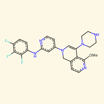 COc1nccc2c1C(N1CCNCC1)=CN(c1ccnc(Nc3ccc(F)c(F)c3F)c1)C2